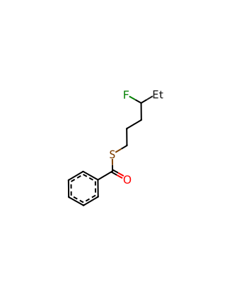 CCC(F)CCCSC(=O)c1ccccc1